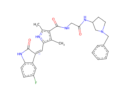 Cc1[nH]c(/C=C2\C(=O)Nc3ccc(F)cc32)c(C)c1C(=O)NCC(=O)NC1CCN(Cc2ccccc2)C1